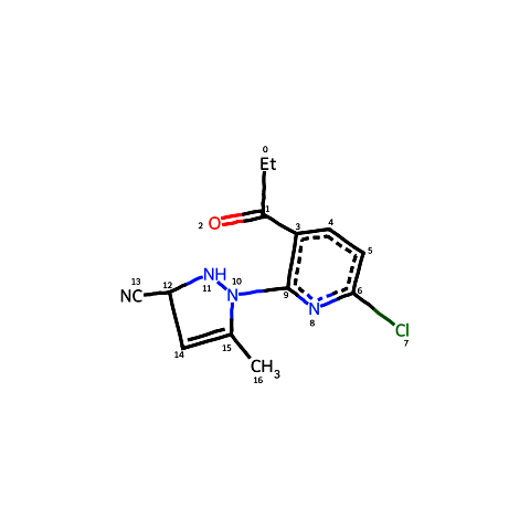 CCC(=O)c1ccc(Cl)nc1N1NC(C#N)C=C1C